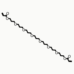 C=CC(=O)OCCCOCCCOCCCOCCCOCCCOCCCOCCCOC(=O)C=C